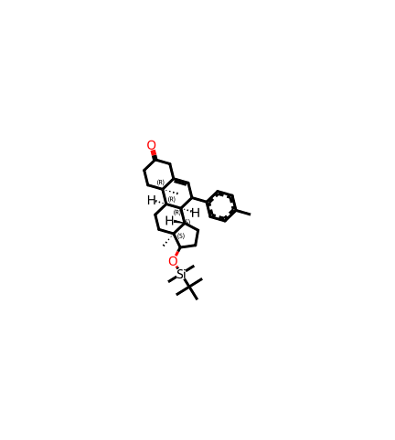 Cc1ccc(C2C=C3CC(=O)CC[C@]3(C)[C@@H]3CC[C@]4(C)C(O[Si](C)(C)C(C)(C)C)CC[C@H]4[C@H]23)cc1